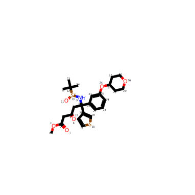 COC(=O)CC(=O)CC(N[S+]([O-])C(C)(C)C)(c1ccsc1)c1cccc(OC2CCOCC2)c1